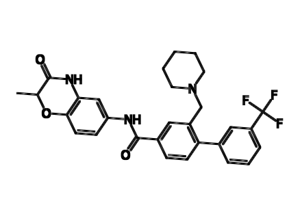 CC1Oc2ccc(NC(=O)c3ccc(-c4cccc(C(F)(F)F)c4)c(CN4CCCCC4)c3)cc2NC1=O